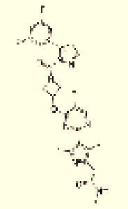 Cc1nn(CC(=O)N(C)C)c(C)c1-c1ncc(F)c(OC2CN(C(=O)N3N=CC[C@H]3c3cc(F)cc(F)c3)C2)n1